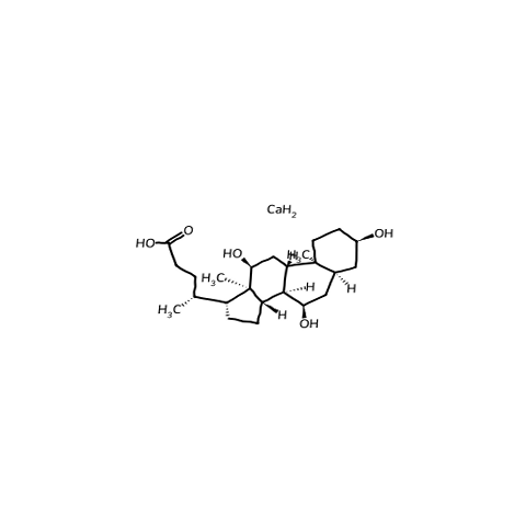 C[C@H](CCC(=O)O)[C@H]1CC[C@H]2[C@@H]3[C@H](O)C[C@@H]4C[C@H](O)CC[C@]4(C)[C@H]3C[C@H](O)[C@]12C.[CaH2]